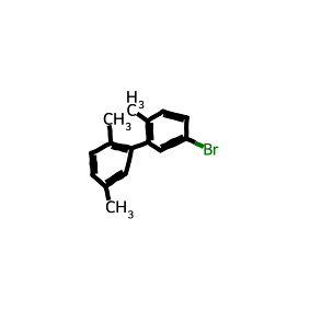 Cc1ccc(C)c(-c2cc(Br)ccc2C)c1